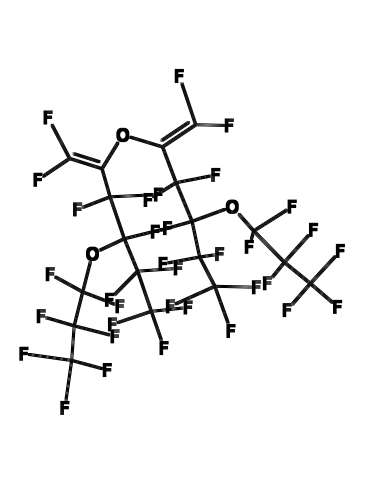 FC(F)=C(OC(=C(F)F)C(F)(F)C(F)(OC(F)(F)C(F)(F)C(F)(F)F)C(F)(F)C(F)(F)F)C(F)(F)C(F)(OC(F)(F)C(F)(F)C(F)(F)F)C(F)(F)C(F)(F)F